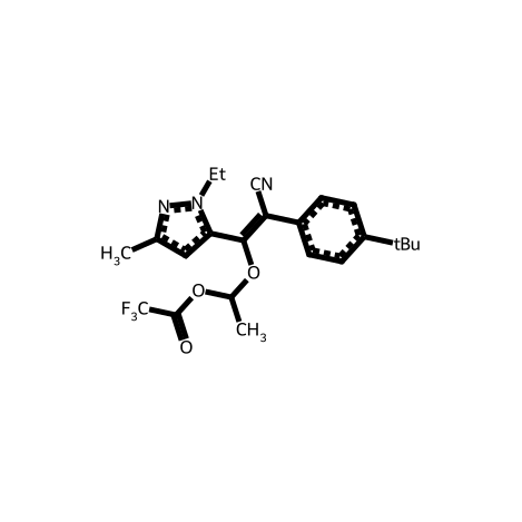 CCn1nc(C)cc1/C(OC(C)OC(=O)C(F)(F)F)=C(\C#N)c1ccc(C(C)(C)C)cc1